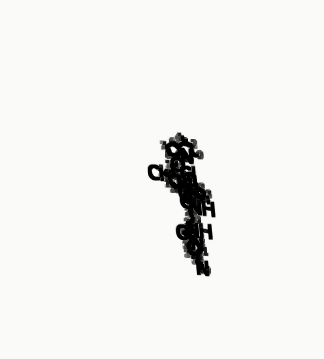 Cc1cc(C)c2cccc(OCc3c(Cl)ccc(S(=O)(=O)N4CCC[C@H]4C(=O)NCCCNC(=O)c4ccc(C#N)cn4)c3Cl)c2n1